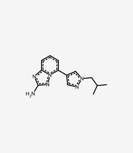 CC(C)Cn1cc(-c2cccc3nc(N)nn23)cn1